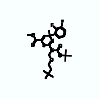 COC(=O)C1=CC(C)(c2cccc(F)c2F)N=C(N(COCC[Si](C)(C)C)C(=O)OC(C)(C)C)S1